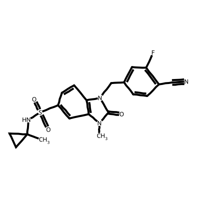 Cn1c(=O)n(Cc2ccc(C#N)c(F)c2)c2ccc(S(=O)(=O)NC3(C)CC3)cc21